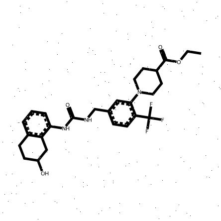 CCOC(=O)C1CCN(c2cc(CNC(=O)Nc3cccc4c3CC(O)CC4)ccc2C(F)(F)F)CC1